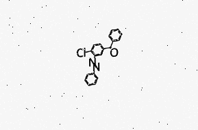 O=C(c1ccccc1)c1ccc(Cl)c(N=Nc2ccccc2)c1